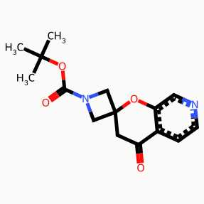 CC(C)(C)OC(=O)N1CC2(CC(=O)c3ccncc3O2)C1